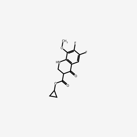 COc1c(F)c(F)cc2c1NCC(C(=O)OC1CC1)C2=O